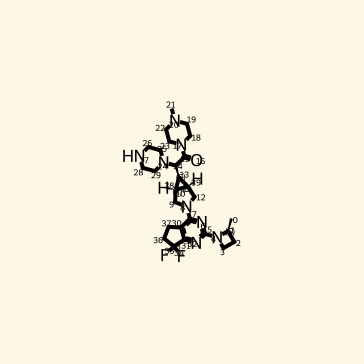 C[C@H]1CCN1c1nc(N2C[C@@H]3[C@H](C2)[C@@H]3C(C(=O)N2CCN(C)CC2)N2CCNCC2)c2c(n1)C(F)(F)CC2